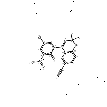 CC1(C)N=C(n2cc(Cl)cc([N+](=O)[O-])c2=O)c2cc(C#N)ccc2O1